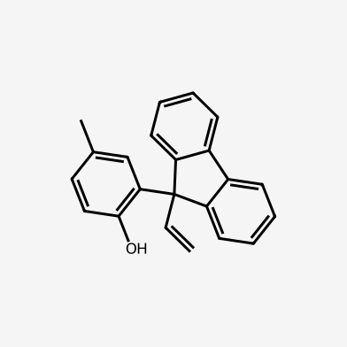 C=CC1(c2cc(C)ccc2O)c2ccccc2-c2ccccc21